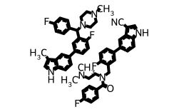 CN(C)CCN(Cc1cc(-c2ccc3[nH]cc(C#N)c3c2)ccc1F)C(=O)c1ccc(F)cc1.Cc1c[nH]c2ccc(-c3ccc(F)c(C(c4ccc(F)cc4)N4CCN(C)CC4)c3)cc12